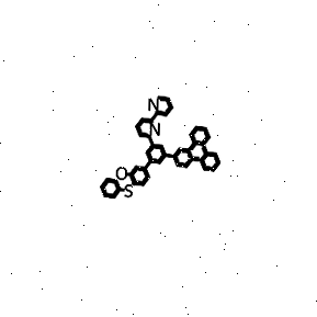 c1ccc(-c2cccc(-c3cc(-c4ccc5c(c4)Oc4ccccc4S5)cc(-c4ccc5c6ccccc6c6ccccc6c5c4)c3)n2)nc1